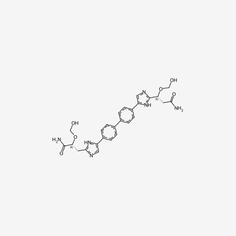 NC(=O)C[C@@H](OCO)c1ncc(-c2ccc(-c3ccc(-c4cnc(C[C@@H](OCO)C(N)=O)[nH]4)cc3)cc2)[nH]1